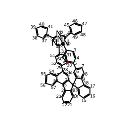 N#Cc1ccc(-c2ccc3c(c2)C2(c4ccccc4-3)c3ccccc3-c3c2cc(-c2ccc(-c4nc(-c5ccccc5)nc(-c5ccccc5)n4)cc2)c2ccccc32)cc1